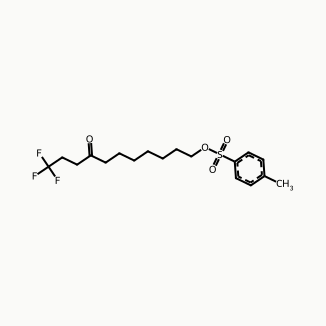 Cc1ccc(S(=O)(=O)OCCCCCCCC(=O)CCC(F)(F)F)cc1